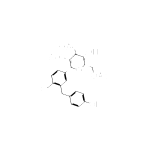 CC(=O)OC[C@H]1O[C@@H](c2ccc(Cl)c(Cc3ccc(O)cc3)c2)[C@H](OC(C)=O)[C@@H](OC(C)=O)[C@@H]1O